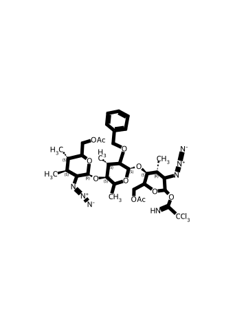 CC(=O)OCC1O[C@H](O[C@@H]2C(C)O[C@@H](O[C@@H]3C(COC(C)=O)OC(OC(=N)C(Cl)(Cl)Cl)C(N=[N+]=[N-])[C@H]3C)C(OCc3ccccc3)[C@H]2C)C(N=[N+]=[N-])[C@@H](C)[C@@H]1C